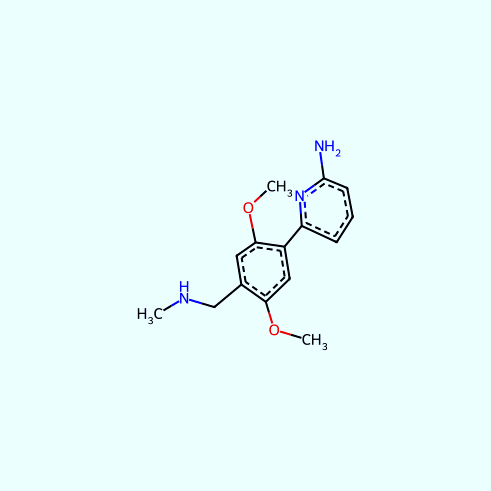 CNCc1cc(OC)c(-c2cccc(N)n2)cc1OC